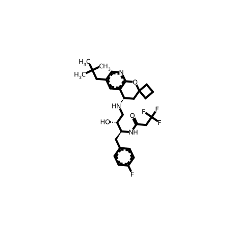 CC(C)(C)Cc1cnc2c(c1)[C@@H](NC[C@@H](O)[C@H](Cc1ccc(F)cc1)NC(=O)CC(F)(F)F)CC1(CCC1)O2